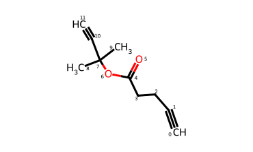 C#CCCC(=O)OC(C)(C)C#C